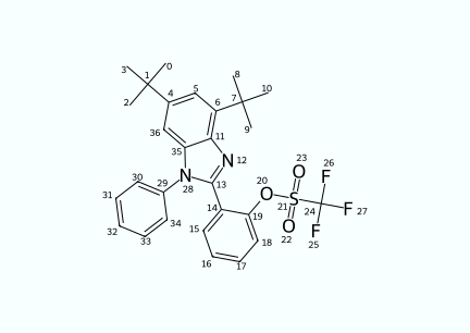 CC(C)(C)c1cc(C(C)(C)C)c2nc(-c3ccccc3OS(=O)(=O)C(F)(F)F)n(-c3ccccc3)c2c1